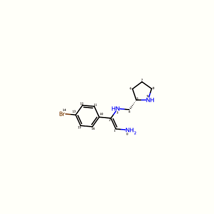 N/C=C(\NC[C@@H]1CCCN1)c1ccc(Br)cc1